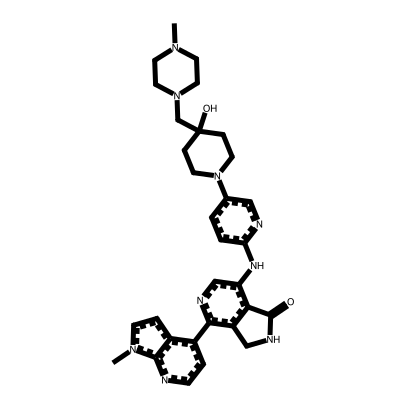 CN1CCN(CC2(O)CCN(c3ccc(Nc4cnc(-c5ccnc6c5ccn6C)c5c4C(=O)NC5)nc3)CC2)CC1